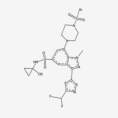 CC(C)S(=O)(=O)N1CCN(c2cc(S(=O)(=O)NC3(C#N)CC3)cc3c(-c4nnc(C(F)F)s4)nn(C)c23)CC1